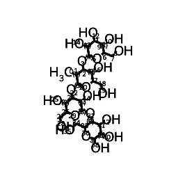 C[C@H]1C(O[C@@H]2OC(CO)[C@H](O)C(O)[C@@H]2O)[C@H](O)C(CO)O[C@H]1OC1[C@@H](O)C(CO)O[C@@H](O[C@@H]2C(CO)OC(O)[C@@H](O)C2O)[C@H]1O